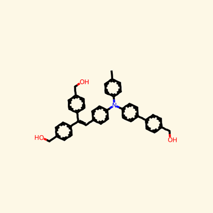 Cc1ccc(N(c2ccc(C=C(c3ccc(CO)cc3)c3ccc(CO)cc3)cc2)c2ccc(-c3ccc(CO)cc3)cc2)cc1